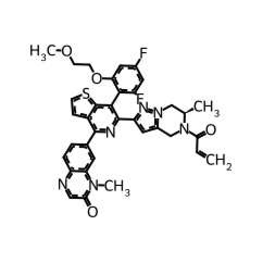 C=CC(=O)N1Cc2cc(-c3nc(-c4ccc5ncc(=O)n(C)c5c4)c4ccsc4c3-c3c(F)cc(F)cc3OCCOC)nn2C[C@H]1C